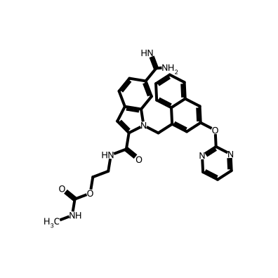 CNC(=O)OCCNC(=O)c1cc2ccc(C(=N)N)cc2n1Cc1cc(Oc2ncccn2)cc2ccccc12